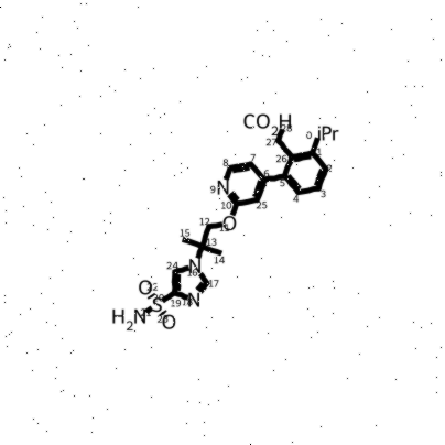 CC(C)c1cccc(-c2ccnc(OCC(C)(C)n3cnc(S(N)(=O)=O)c3)c2)c1CC(=O)O